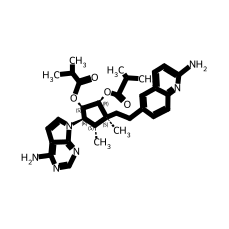 CC(C)C(=O)O[C@H]1[C@H](n2ccc3c(N)ncnc32)[C@@H](C)[C@](C)(CCc2ccc3nc(N)ccc3c2)[C@H]1OC(=O)C(C)C